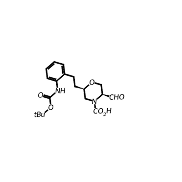 CC(C)(C)OC(=O)Nc1ccccc1CC[C@@H]1CN(C(=O)O)[C@H](C=O)CO1